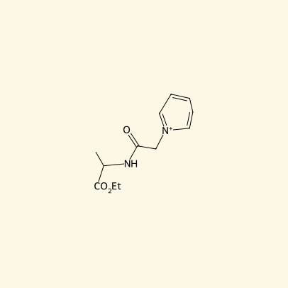 CCOC(=O)C(C)NC(=O)C[n+]1ccccc1